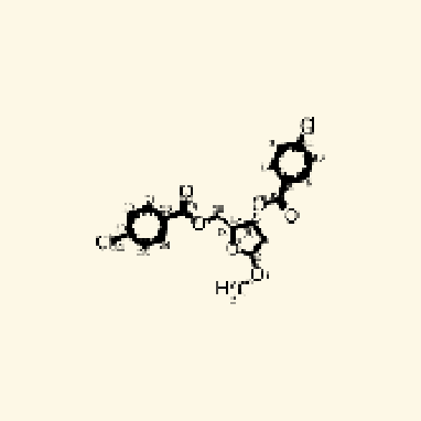 COC1C[C@@H](OC(=O)c2ccc(Cl)cc2)[C@H](COC(=O)c2ccc(Cl)cc2)O1